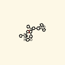 c1ccc(C2=NC(c3ccccc3)NC(c3cccc4oc5ccc(-c6ccc7c(c6)c6cc(-c8ccc9c(c8)c8cccc%10c8n9-c8ccccc8O%10)ccc6n7-c6ccccc6)cc5c34)=N2)cc1